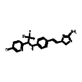 NC1=NC(C=Cc2ccc(NC(c3ccc(Cl)cn3)C(F)(F)F)cc2)CO1